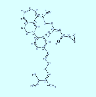 CCCC(CC)/C(C)=C\CC/C=C/c1ccc(C2=CCC3=CN=CC=C(N(CCC)CC/C(C)=C/C(=O)C4CC4)C3=C2)cc1